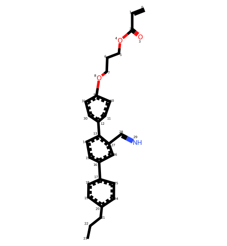 C=CC(=O)OCCCOc1ccc(-c2ccc(-c3ccc(CCC)cc3)cc2C=N)cc1